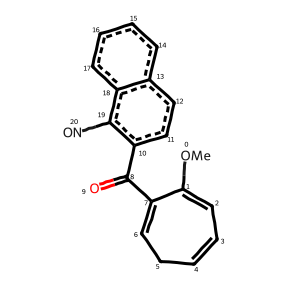 COC1=CC=CCC=C1C(=O)c1ccc2ccccc2c1N=O